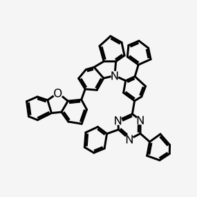 c1ccc(-c2nc(-c3ccccc3)nc(-c3ccc(-c4ccccc4)c(-n4c5ccccc5c5ccc(-c6cccc7c6oc6ccccc67)cc54)c3)n2)cc1